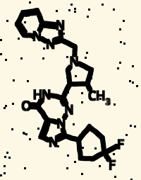 CC1CN(Cc2nc3ccccn3n2)CC1c1nn2c(C3CCC(F)(F)CC3)ncc2c(=O)[nH]1